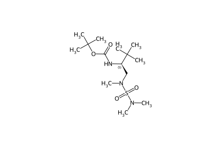 CN(C)S(=O)(=O)N(C)C[C@@H](NC(=O)OC(C)(C)C)C(C)(C)C